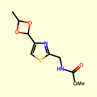 COC(=O)NCc1nc(C2OC(C)O2)cs1